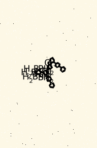 Bc1c(B)c(B)c(-c2nc(-c3ccc(-c4ccccc4)cc3)nc(-c3ccc4c(c3)oc3cccc(-c5ccc(-c6ccccc6)cc5)c34)n2)c(B)c1B